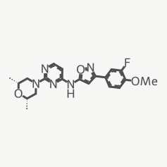 COc1ccc(-c2cc(Nc3ccnc(N4C[C@@H](C)O[C@@H](C)C4)n3)on2)cc1F